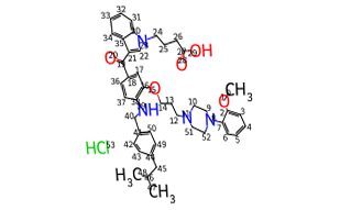 COc1ccccc1N1CCN(CCCOc2cc(C(=O)c3cn(CCCC(=O)O)c4ccccc34)ccc2NCc2ccc(CC(C)C)cc2)CC1.Cl